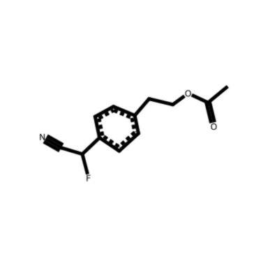 CC(=O)OCCc1ccc(C(F)C#N)cc1